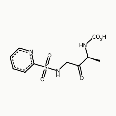 C[C@H](NC(=O)O)C(=O)CNS(=O)(=O)c1ccccn1